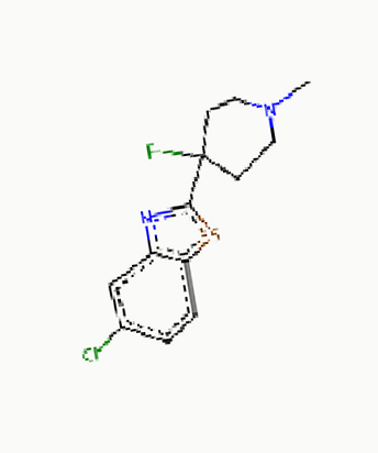 CN1CCC(F)(c2nc3cc(Cl)ccc3s2)CC1